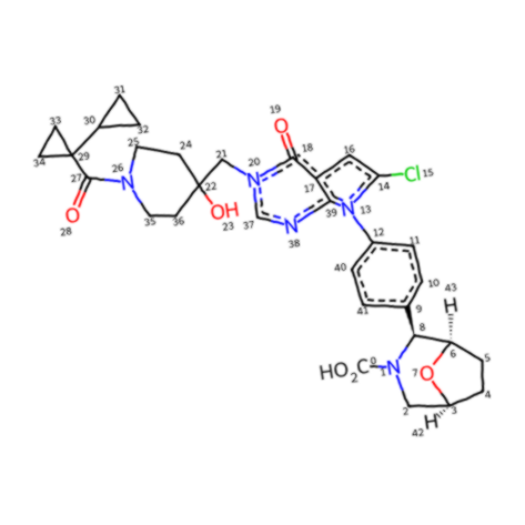 O=C(O)N1C[C@@H]2CC[C@@H](O2)[C@@H]1c1ccc(-n2c(Cl)cc3c(=O)n(CC4(O)CCN(C(=O)C5(C6CC6)CC5)CC4)cnc32)cc1